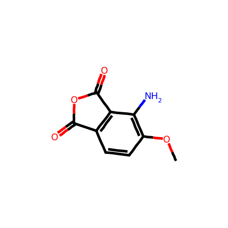 COc1ccc2c(c1N)C(=O)OC2=O